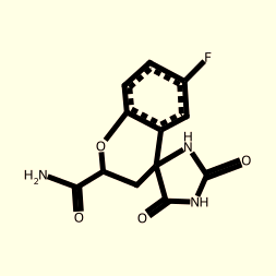 NC(=O)C1CC2(NC(=O)NC2=O)c2cc(F)ccc2O1